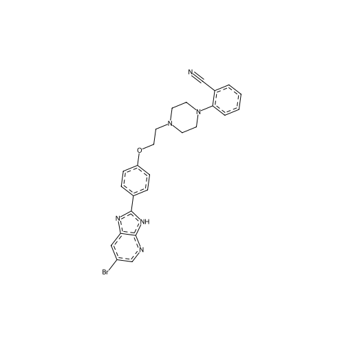 N#Cc1ccccc1N1CCN(CCOc2ccc(-c3nc4cc(Br)cnc4[nH]3)cc2)CC1